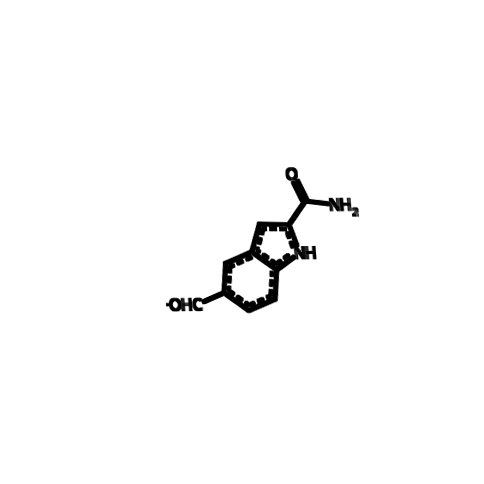 NC(=O)c1cc2cc([C]=O)ccc2[nH]1